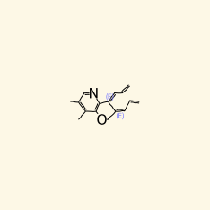 C=C/C=C1/COc2c(ncc(C)c2C)/C1=C/C=C